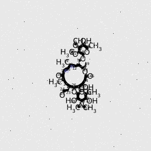 CO[C@@H]1[C@H](O)[C@@H](C)OC(OC[C@H]2/C=C(C)/C=C/C(=O)[C@H](C)C[C@H](CC=O)[C@H](O[C@@H]3O[C@H](C)[C@@H](O)[C@H](N(C)C)[C@H]3O)[C@@H](C)[C@H](O)CC(=O)O[C@@H]2I)[C@@H]1OC